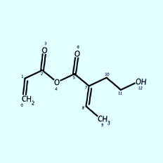 C=CC(=O)OC(=O)C(=CC)CCO